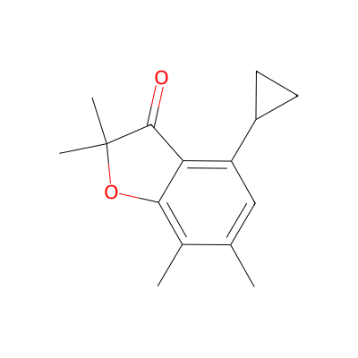 Cc1cc(C2CC2)c2c(c1C)OC(C)(C)C2=O